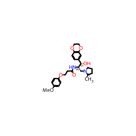 COc1ccc(OCCC(=O)N[C@H](CN2CCC[C@H]2C)[C@@H](O)c2ccc3c(c2)OCCO3)cc1